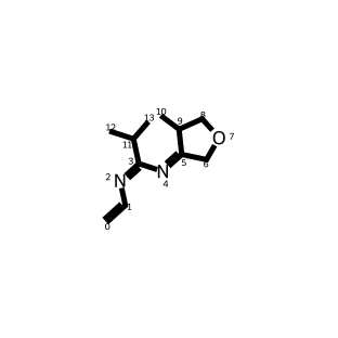 C=C/N=C(\N=C1\COCC1C)C(C)C